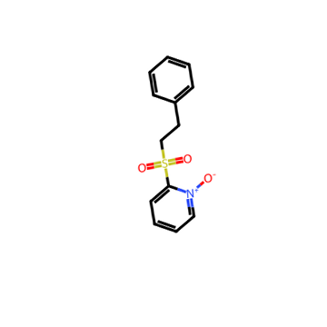 O=S(=O)(CCc1ccccc1)c1cccc[n+]1[O-]